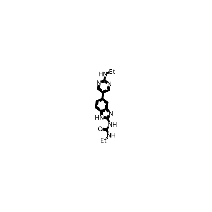 CCNC(=O)Nc1nc2cc(-c3cnc(NCC)nc3)ccc2[nH]1